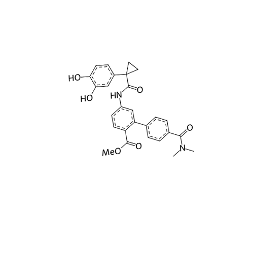 COC(=O)c1ccc(NC(=O)C2(c3ccc(O)c(O)c3)CC2)cc1-c1ccc(C(=O)N(C)C)cc1